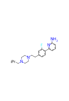 CC(C)CN1CCN(CCc2ccc(-c3cccc(N)n3)c(F)c2)CC1